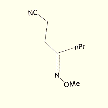 CCC/C(CCC#N)=N\OC